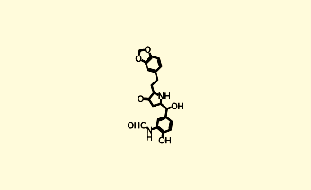 O=CNc1cc(C(O)C2CC(=O)C(CCc3ccc4c(c3)OCO4)N2)ccc1O